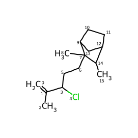 C=C(C)C(Cl)CCC1(C)C2CCC(C2)C1C